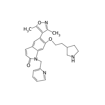 Cc1noc(C)c1-c1cc2ccc(=O)n(Cc3ccccn3)c2cc1OCCC1CCNC1